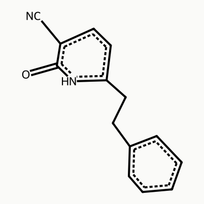 N#Cc1ccc(CCc2ccccc2)[nH]c1=O